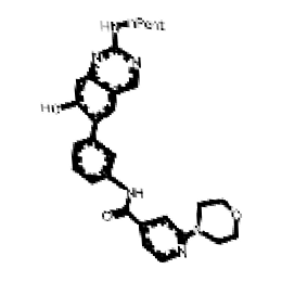 CCCCCNc1ncc2cc(-c3cccc(NC(=O)c4ccnc(N5CCOCC5)c4)c3)c(O)cc2n1